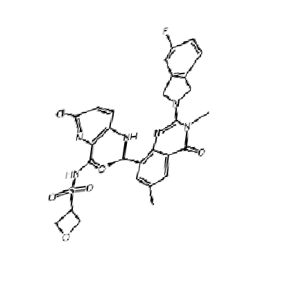 Cc1cc([C@@H](C)Nc2ccc(Cl)nc2C(=O)NS(=O)(=O)C2COC2)c2nc(N3Cc4ccc(F)cc4C3)n(C)c(=O)c2c1